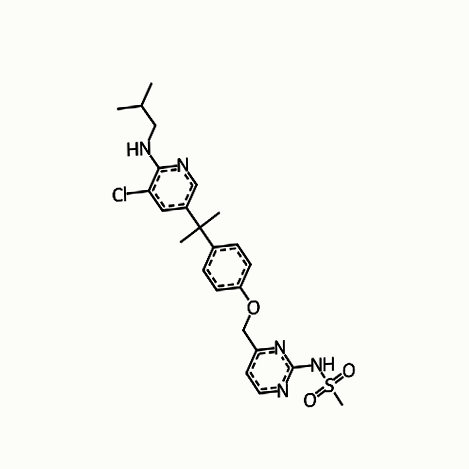 CC(C)CNc1ncc(C(C)(C)c2ccc(OCc3ccnc(NS(C)(=O)=O)n3)cc2)cc1Cl